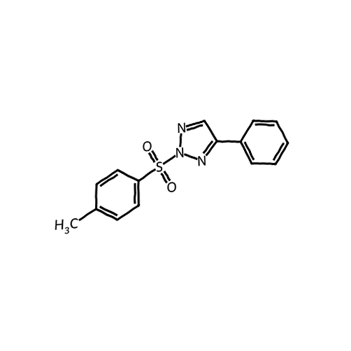 Cc1ccc(S(=O)(=O)n2ncc(-c3ccccc3)n2)cc1